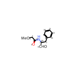 COCC(=O)N[C@H](C=O)Cc1ccccc1